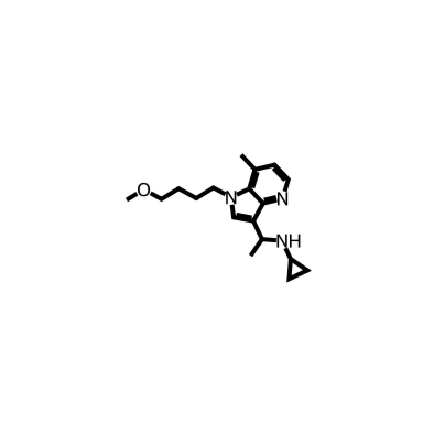 COCCCCn1cc(C(C)NC2CC2)c2nccc(C)c21